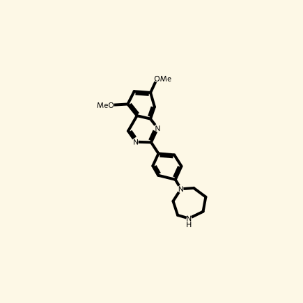 COc1cc(OC)c2cnc(-c3ccc(N4CCCNCC4)cc3)nc2c1